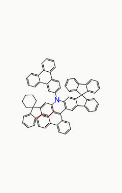 c1ccc2c(c1)-c1ccc(N(c3ccc4c5ccccc5c5ccccc5c4c3)c3cc4c(cc3-c3cc5ccccc5c5ccccc35)-c3ccccc3C43c4ccccc4-c4ccccc43)cc1C21CCCCC1